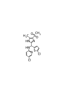 Cc1[nH]c(C(Nc2ccc(Cl)cn2)c2ccc(Cl)s2)nc1S(C)(=O)=O